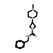 CN1CCN(C2CN(C(=O)NCc3ccccc3)C2)CC1